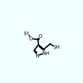 CCOC(=O)c1cn[nH]c1CS